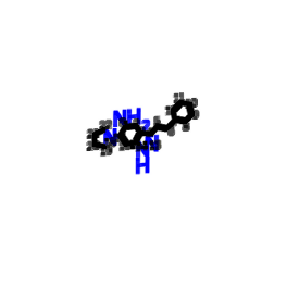 Nc1cc2c(C=Cc3ccccc3)n[nH]c2cc1N1CCCC1